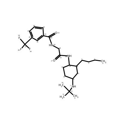 CCCCC1CC(NC(C)(C)C)CCC1NC(=O)CNC(=O)c1cccc(C(F)(F)F)c1